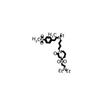 CCN(CC)CCS(=O)(=O)N1CCCN(CCCCN(CC)C(C)Cc2ccc(S(C)(=O)=O)cc2)C(=O)C1